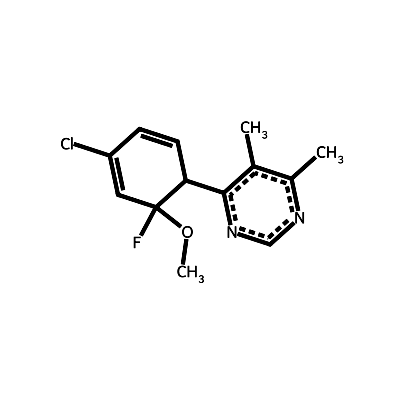 COC1(F)C=C(Cl)C=CC1c1ncnc(C)c1C